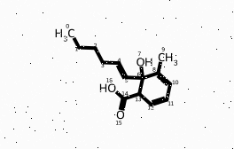 CCCCC=CC1(O)C(C)=CC=CC1C(=O)O